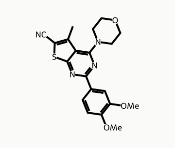 COc1ccc(-c2nc(N3CCOCC3)c3c(C)c(C#N)sc3n2)cc1OC